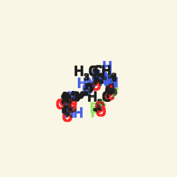 COC1CCN(c2nccc(Nc3cc4c(cn3)c(C(=O)NC3CCN(CCCC5CCN(c6cccc7c6C(=O)N(C6CCC(=O)NC6=O)C7=O)CC5)CC3)cn4C(C)C)n2)C[C@H]1F.O=C(OF)C(F)F